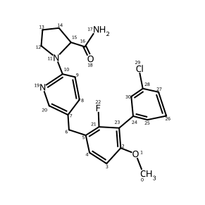 COc1ccc(Cc2ccc(N3CCCC3C(N)=O)nc2)c(F)c1-c1cccc(Cl)c1